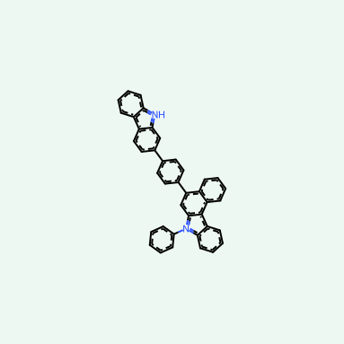 c1ccc(-n2c3ccccc3c3c4ccccc4c(-c4ccc(-c5ccc6c(c5)[nH]c5ccccc56)cc4)cc32)cc1